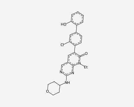 CCn1c(=O)c(-c2ccc(-c3ccccc3O)cc2Cl)cc2cnc(NC3CCOCC3)nc21